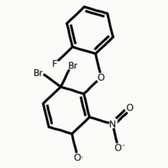 [O]C1C=CC(Br)(Br)C(Oc2ccccc2F)=C1[N+](=O)[O-]